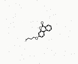 O=c1oc2cc(OCCCI)ccc2c2ccccc12